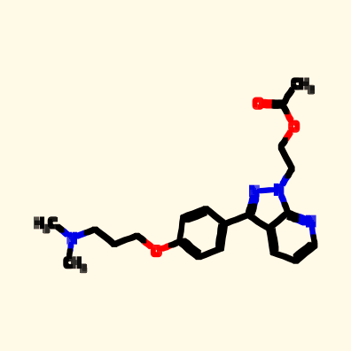 CC(=O)OCCn1nc(-c2ccc(OCCCN(C)C)cc2)c2cccnc21